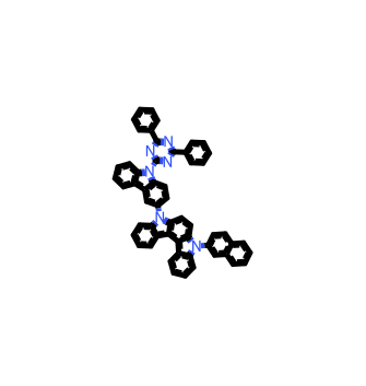 c1ccc(-c2nc(-c3ccccc3)nc(-n3c4ccccc4c4cc(-n5c6ccccc6c6c7c8ccccc8n(-c8ccc9ccccc9c8)c7ccc65)ccc43)n2)cc1